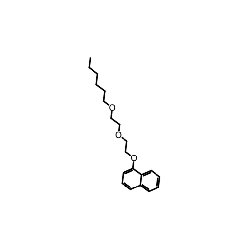 CCCCCCOCCOCCOc1cccc2ccccc12